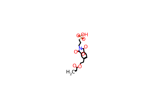 C=CC(=O)OCCC1=CC2OC1C1C(=O)N(CCCS(=O)(=O)O)C(=O)C21